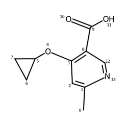 Cc1cc(OC2CC2)c(C(=O)O)cn1